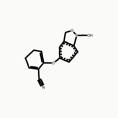 N#CC1=CCCC=C1Oc1ccc2c(c1)COB2O